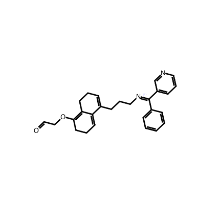 O=CCOC1=C2CCC=C(CCC/N=C(\c3ccccc3)c3cccnc3)C2=CCC1